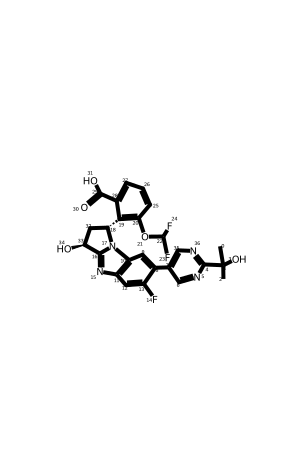 CC(C)(O)c1ncc(-c2cc3c(cc2F)nc2n3[C@@H](c3c(OC(F)F)cccc3C(=O)O)C[C@@H]2O)cn1